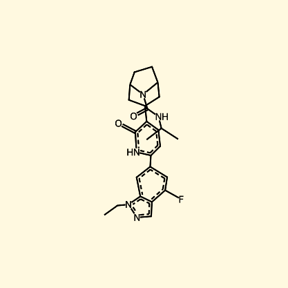 CCn1ncc2c(F)cc(-c3ccc(C4CC5CCC(C4)N5C(=O)NC(C)C)c(=O)[nH]3)cc21